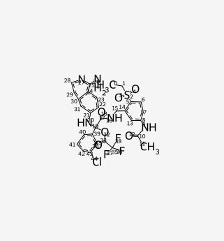 CCS(=O)(=O)c1ccc(NC(C)=O)cc1CNC(=O)C(Nc1ccc2c(N)nccc2c1)(OC(=O)C(F)(F)F)c1cccc(Cl)c1